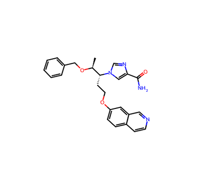 C[C@H](OCc1ccccc1)[C@@H](CCOc1ccc2ccncc2c1)n1cnc(C(N)=O)c1